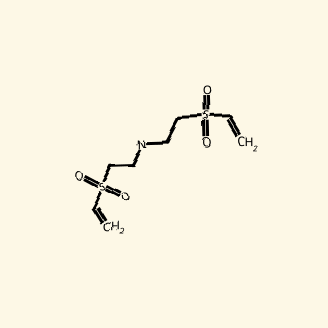 C=CS(=O)(=O)CC[N]CCS(=O)(=O)C=C